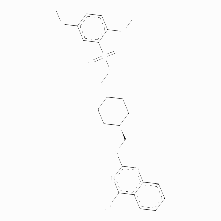 COc1ccc(OC)c(S(=O)(=O)NC[C@H]2CC[C@H](CNc3nc(N)c4ccccc4n3)CC2)c1.Cl